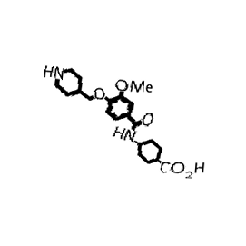 COc1cc(C(=O)N[C@H]2CC[C@H](C(=O)O)CC2)ccc1OCC1CCNCC1